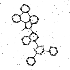 Cc1c2c3c(cccc3n1-c1ccc(-c3nc(-c4ccccc4)nc(-c4ccccc4)n3)c3ccccc13)-c1ccccc1-c1ccccc1-2